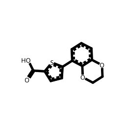 O=C(O)c1ccc(-c2cccc3c2OCCO3)s1